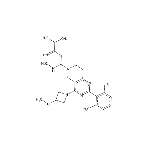 CN/C(=C\C(=N)C(C)C)N1CCc2nc(-c3c(C)cccc3C)nc(N3CC(OC)C3)c2C1